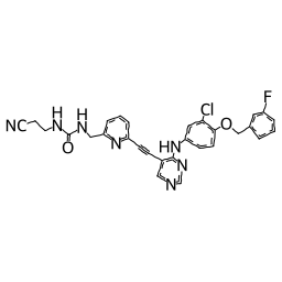 N#CCCNC(=O)NCc1cccc(C#Cc2cncnc2Nc2ccc(OCc3cccc(F)c3)c(Cl)c2)n1